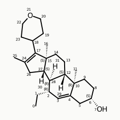 CC[C@H]1C=C2C[C@@H](O)CC[C@]2(C)[C@H]2CC[C@]3(C)C(C4CCOCC4)=C(C)C[C@H]3[C@H]12